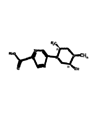 CC[C@H]1CN(c2cnc(C(=O)OC)cn2)[C@H](C)CN1C